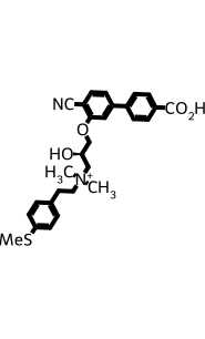 CSc1ccc(CC[N+](C)(C)C[C@@H](O)COc2cc(-c3ccc(C(=O)O)cc3)ccc2C#N)cc1